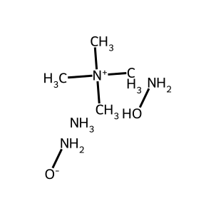 C[N+](C)(C)C.N.NO.N[O-]